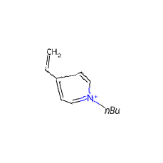 C=Cc1cc[n+](CCCC)cc1